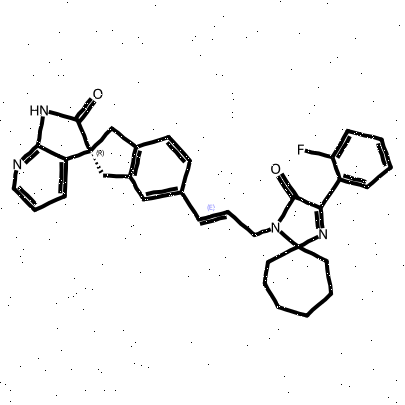 O=C1C(c2ccccc2F)=NC2(CCCCCC2)N1C/C=C/c1ccc2c(c1)C[C@@]1(C2)C(=O)Nc2ncccc21